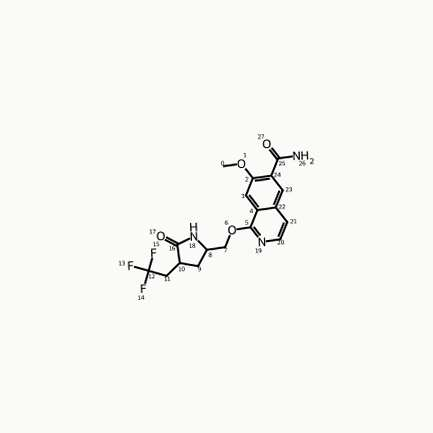 COc1cc2c(OCC3CC(CC(F)(F)F)C(=O)N3)nccc2cc1C(N)=O